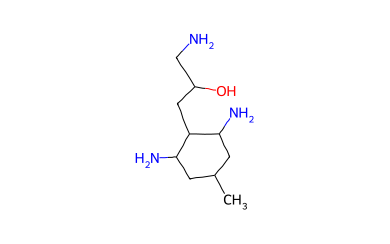 CC1CC(N)C(CC(O)CN)C(N)C1